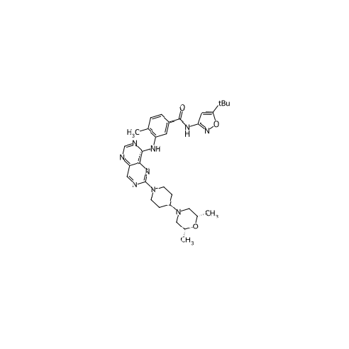 Cc1ccc(C(=O)Nc2cc(C(C)(C)C)on2)cc1Nc1ncnc2cnc(N3CCC(N4C[C@@H](C)O[C@@H](C)C4)CC3)nc12